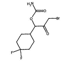 NC(=O)OC(C(=O)CBr)C1CCC(F)(F)CC1